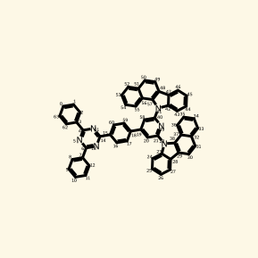 c1ccc(-c2nc(-c3ccccc3)nc(-c3ccc(-c4cc(-n5c6ccccc6c6ccc7ccccc7c65)nc(-n5c6ccccc6c6ccc7ccccc7c65)c4)cc3)n2)cc1